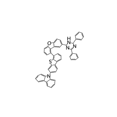 c1ccc(C2=NC(c3ccccc3)NC(c3ccc4oc5cccc(-c6cccc7c6sc6cc(-n8c9ccccc9c9ccccc98)ccc67)c5c4c3)=N2)cc1